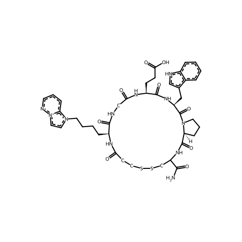 NC(=O)C1CSSCCC(=O)N[C@@H](CCCCn2cc[n+]3ncccc23)C(=O)NCC(=O)N[C@@H](CCC(=O)O)C(=O)N[C@@H](Cc2c[nH]c3ccccc23)C(=O)N2CCC[C@H]2C(=O)N1